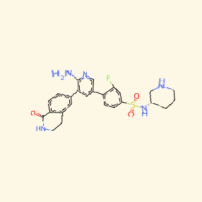 Nc1ncc(-c2ccc(S(=O)(=O)N[C@H]3CCCNC3)cc2F)cc1-c1ccc2c(c1)CCNC2=O